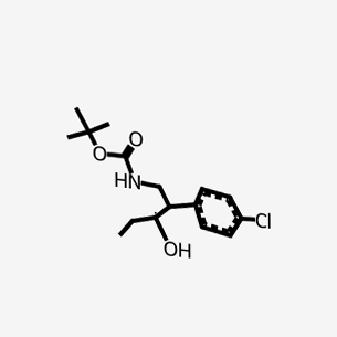 CC[C](O)C(CNC(=O)OC(C)(C)C)c1ccc(Cl)cc1